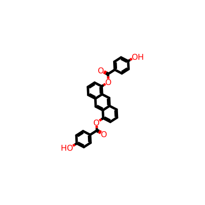 O=C(Oc1cccc2cc3c(OC(=O)c4ccc(O)cc4)cccc3cc12)c1ccc(O)cc1